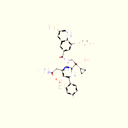 CCOc1c(CC(N)=O)cc([C@@](O)(CNC(=O)c2cc(OC)c3ncc(Br)cc3c2)C2CC2)nc1-c1ccc(F)cc1